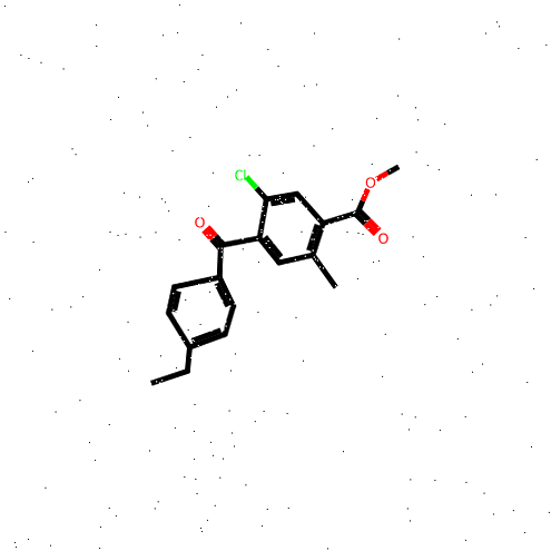 CCc1ccc(C(=O)c2cc(C)c(C(=O)OC)cc2Cl)cc1